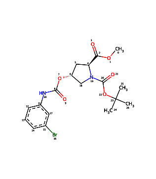 COC(=O)[C@@H]1C[C@@H](OC(=O)Nc2cccc(Br)c2)CN1C(=O)OC(C)(C)C